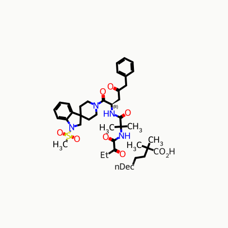 CCC(=O)C(=O)NC(C)(C)C(=O)N[C@H](CC(=O)Cc1ccccc1)C(=O)N1CCC2(CC1)CN(S(C)(=O)=O)c1ccccc12.CCCCCCCCCCCCC(C)(C)C(=O)O